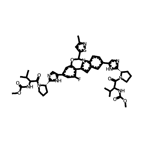 COC(=O)NC(C(=O)N1CCC[C@H]1c1ncc(-c2cc(F)c3c(c2)OC(c2cc(C)ns2)n2c-3cc3cc(-c4cnc([C@@H]5CCCN5C(=O)C(NC(=O)OC)C(C)C)[nH]4)ccc32)[nH]1)C(C)C